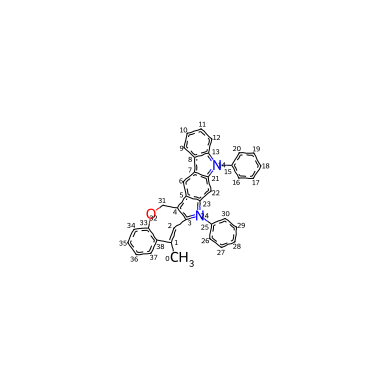 C/C1=C\c2c(c3cc4c5ccccc5n(-c5ccccc5)c4cc3n2-c2ccccc2)COc2ccccc21